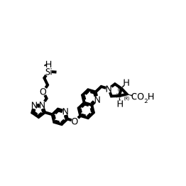 C[SiH](C)CCOCn1nccc1-c1ccc(Oc2ccc3nc(CN4C[C@@H]5[C@H](C4)[C@H]5C(=O)O)ccc3c2)nc1